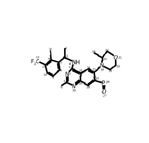 Cc1nc(NC(C)c2cccc(C(F)(F)F)c2C)c2cc(N3CCOCC3C)c(P=O)cc2n1